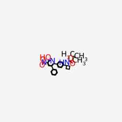 CC(C)(C)OC(=O)NC1(c2ccc(-c3nc(O)c([N+](=O)[O-])cc3-c3ccccc3)cc2)CCC1